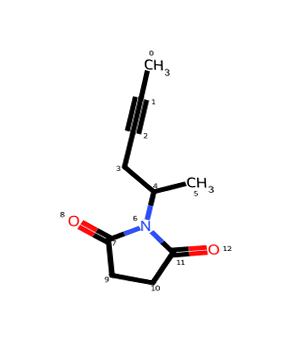 CC#CCC(C)N1C(=O)CCC1=O